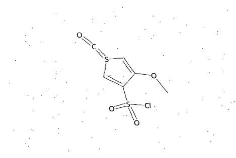 COC1=CS(=C=O)C=C1S(=O)(=O)Cl